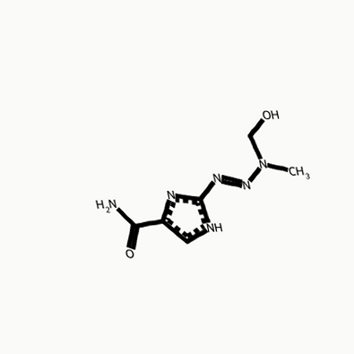 CN(CO)N=Nc1nc(C(N)=O)c[nH]1